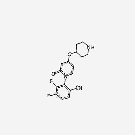 N#Cc1ccc(F)c(F)c1-n1ccc(OC2CCNCC2)cc1=O